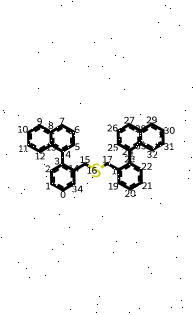 c1ccc(-c2cccc3ccccc23)c(CSCc2ccccc2-c2cccc3ccccc23)c1